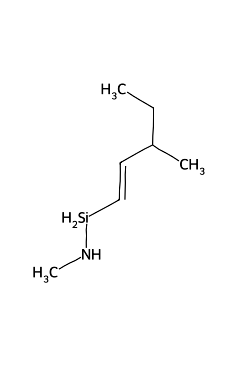 CCC(C)C=C[SiH2]NC